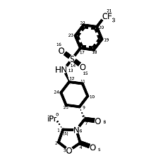 CC(C)[C@H]1COC(=O)N1C(=O)[C@H]1CC[C@H](NS(=O)(=O)c2ccc(C(F)(F)F)cc2)CC1